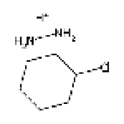 ClC1CCCCC1.NN.[H+]